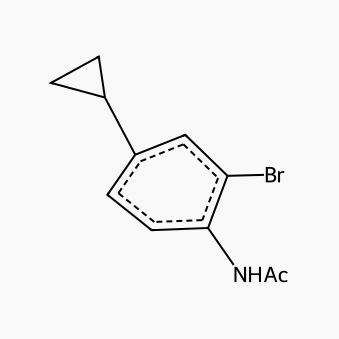 CC(=O)Nc1ccc(C2CC2)cc1Br